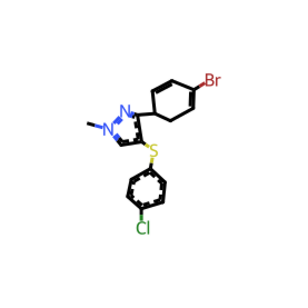 Cn1cc(Sc2ccc(Cl)cc2)c(C2C=CC(Br)=CC2)n1